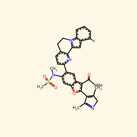 CNC(=O)c1c(C2=C(C)CN=C2C)oc2cc(N(C)S(C)(=O)=O)c(-c3ccc4c(n3)-c3cc5c(F)cccc5n3CC4)cc12